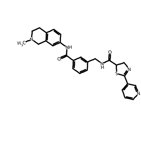 CN1CCc2ccc(NC(=O)c3cccc(CNC(=O)C4CN=C(c5cccnc5)S4)c3)cc2C1